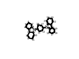 C1=CC2c3ccccc3N(c3ccc(-n4c5ccccc5c5ccccc54)cc3)C2C=C1